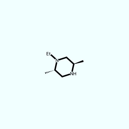 CCN1C[C@@H](C)NC[C@@H]1C